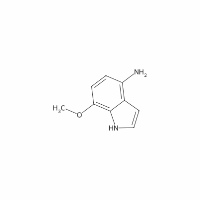 COc1ccc(N)c2cc[nH]c12